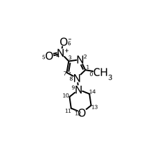 Cc1nc([N+](=O)[O-])[c]n1N1CCOCC1